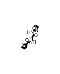 C[C@H](NC(=O)c1cccs1)[C@H](C)C(=O)Nc1ncco1